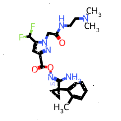 Cc1ccccc1C1(/C(N)=N/OC(=O)c2cc(C(F)F)n(CC(=O)NCCN(C)C)n2)CC1